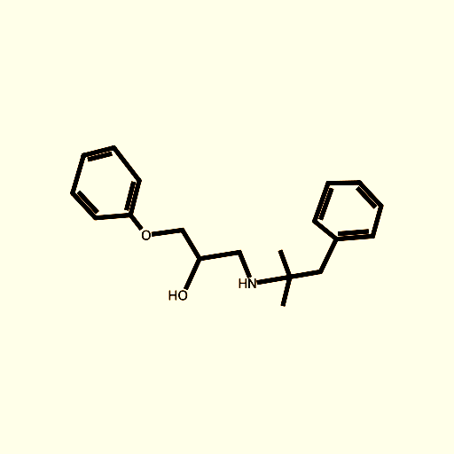 CC(C)(Cc1ccccc1)NCC(O)COc1ccccc1